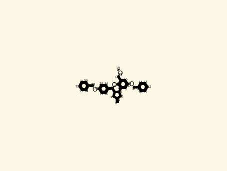 C=C1CC2c3cc(OCc4ccccc4)cc(COC)c3OC(c3ccc(OCc4ccccc4)cc3)C2C1